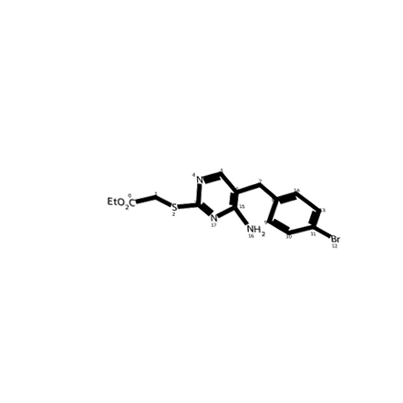 CCOC(=O)CSc1ncc(Cc2ccc(Br)cc2)c(N)n1